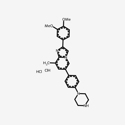 COc1ccc(-c2cn3cc(-c4ccc(N5CCNCC5)cc4)cc(C)c3n2)cc1OC.Cl.Cl